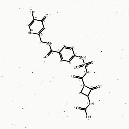 O=C(O)NC1CN(C(=O)NS(=O)(=O)Nc2ccc(C(=O)NCc3cc(=O)c(O)c[nH]3)cc2)C1=O